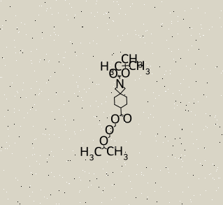 CC(C)OCOCOC(=O)C1CCC2(CC1)CN(C(=O)OC(C)(C)C)C2